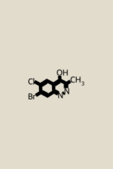 Cc1nnc2cc(Br)c(Cl)cc2c1O